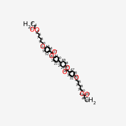 C=CC(=O)OCCCCCCOc1ccc(C(=O)Oc2ccc(C3CCC(OC(=O)c4ccc(OCCCCCCOC(=O)C=C)cc4)CC3)cc2)cc1